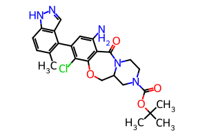 Cc1ccc2[nH]ncc2c1-c1cc(N)c2c(c1Cl)OCC1CN(C(=O)OC(C)(C)C)CCN1C2=O